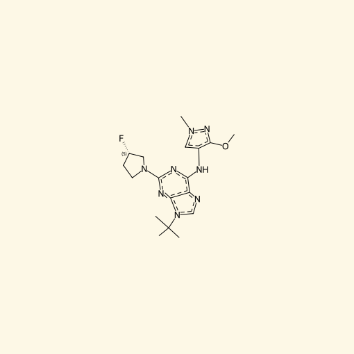 COc1nn(C)cc1Nc1nc(N2CC[C@H](F)C2)nc2c1ncn2C(C)(C)C